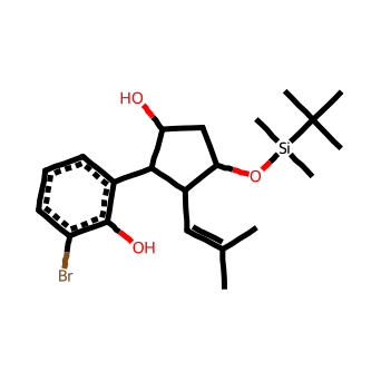 CC(C)=CC1C(O[Si](C)(C)C(C)(C)C)CC(O)C1c1cccc(Br)c1O